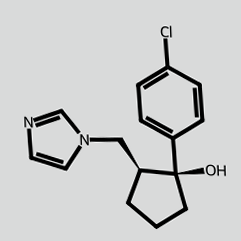 O[C@@]1(c2ccc(Cl)cc2)CCC[C@H]1Cn1ccnc1